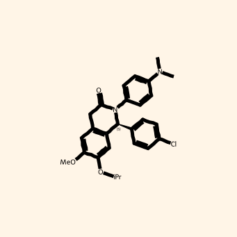 COc1cc2c(cc1OC(C)C)[C@H](c1ccc(Cl)cc1)N(c1ccc(N(C)C)cc1)C(=O)C2